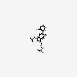 CC(C)Cn1cc(CNSN(C)C)c2cc(F)c(-c3ccccc3Cl)cc21